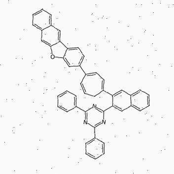 C1=CC(c2ccc3c(c2)oc2cc4ccccc4cc23)=CC=C(c2cc3ccccc3cc2-c2nc(-c3ccccc3)nc(-c3ccccc3)n2)C1